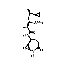 C=C(C/C(OC)=C(\C)C(=O)NC1CCC(=O)NC2OC12)C1CC1